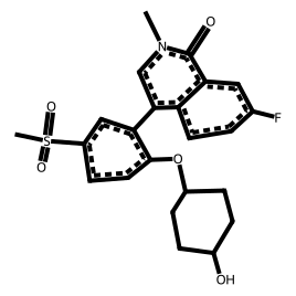 Cn1cc(-c2cc(S(C)(=O)=O)ccc2OC2CCC(O)CC2)c2ccc(F)cc2c1=O